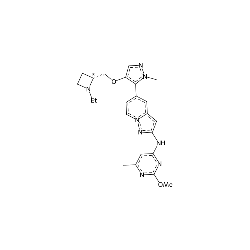 CCN1CC[C@@H]1COc1cnn(C)c1-c1ccn2nc(Nc3cc(C)nc(OC)n3)cc2c1